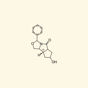 O=C1C2CC(O)C[C@@H]2C2COC(c3ccccc3)N12